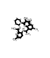 Cc1cc(C(C)Nc2ccc(Cl)nc2C(=O)O)c2oc(N3CCCCC3)c(C)c(=O)c2c1